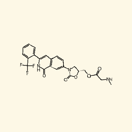 CNCC(=O)OC[C@H]1CN(c2ccc3cc(-c4ccccc4C(F)(F)F)[nH]c(=O)c3c2)C(=O)O1